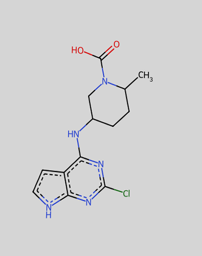 CC1CCC(Nc2nc(Cl)nc3[nH]ccc23)CN1C(=O)O